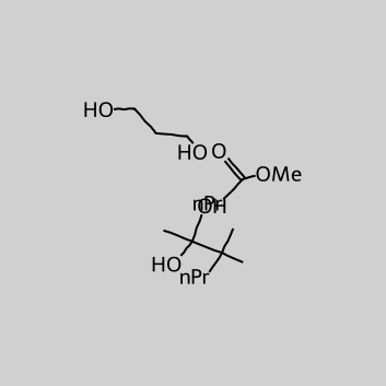 CCCC(=O)OC.CCCC(C)(C)C(C)(O)O.OCCCO